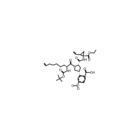 C=CCCCCC[C@H](NC(=O)OC(C)(C)C)C(=O)N1C[C@@H](c2cc([N+](=O)[O-])ccc2C(=O)O)C[C@H]1C(=O)N[C@]1(C(=O)OCC)CC1C=C